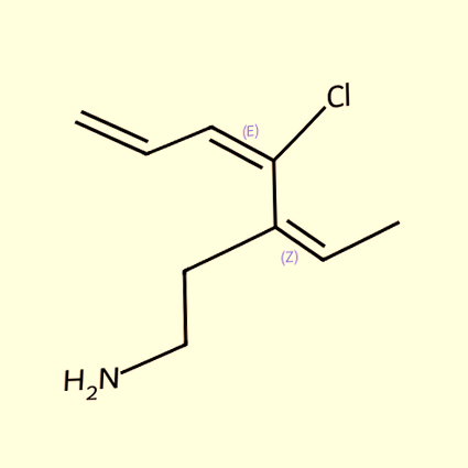 C=C/C=C(Cl)\C(=C/C)CCN